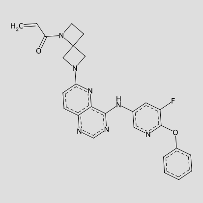 C=CC(=O)N1CCC12CN(c1ccc3ncnc(Nc4cnc(Oc5ccccc5)c(F)c4)c3n1)C2